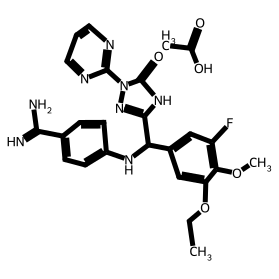 CC(=O)O.CCOc1cc(C(Nc2ccc(C(=N)N)cc2)c2nn(-c3ncccn3)c(=O)[nH]2)cc(F)c1OC